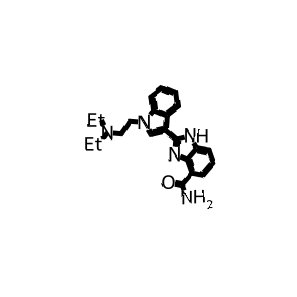 CCN(CC)CCn1cc(-c2nc3c(C(N)=O)cccc3[nH]2)c2ccccc21